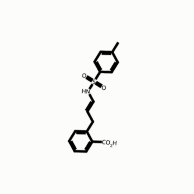 Cc1ccc(S(=O)(=O)NC=CCc2ccccc2C(=O)O)cc1